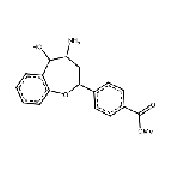 COC(=O)c1ccc(C2CC(N)C(O)c3ccccc3O2)cc1